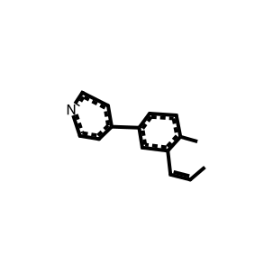 C/C=C\c1cc(-c2ccncc2)ccc1C